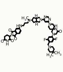 CN(CCCNc1ccc2c(c1)C(=O)N(C1CCC(=O)NC1=O)C2=O)[C@@H]1C[C@@H]2CN(c3cc(N4CCC5(CC4)CN(c4cc(F)c(CN6CCC(C)(C)CC6)cc4F)CC(=O)N5)ncn3)C[C@@H]2C1